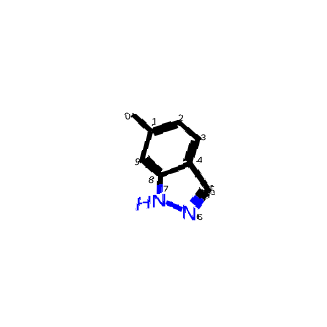 Cc1ccc2[c]n[nH]c2c1